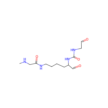 CNCC(=O)NCCCCC(C=O)NC(=O)NCC=O